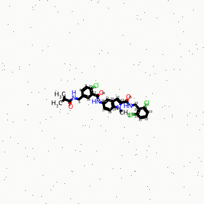 CC(C)C(=O)NCc1ccc(Cl)c(C(=O)Nc2ccc3c(c2)cc(C(=O)NCc2c(Cl)cccc2Cl)n3C)c1